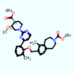 CCO[C@@H]1CN(c2nccc(-c3cccc(C)c3OCc3ccc4c(c3C)CCN(C(=O)OC(C)(C)C)CC4)n2)CC[C@@H]1C(=O)OC(C)(C)C